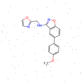 FC(F)(F)Oc1ccc(-c2ccc3onc(NCc4ncco4)c3c2)cc1